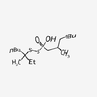 CCCCC(C)(CC)SSP(=O)(O)CC(C)CC(C)(C)C